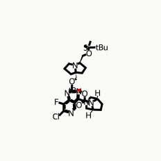 CC(C)(C)OC(=O)N1[C@@H]2CC[C@H]1CN(c1nc(OC[C@]34CCCN3[C@@H](CO[Si](C)(C)C(C)(C)C)CC4)nc3c(F)c(Cl)ncc13)C2